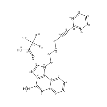 Nc1nc2ccccc2c2c1ncn2CCOCC#Cc1ncccn1.O=C(O)C(F)(F)F